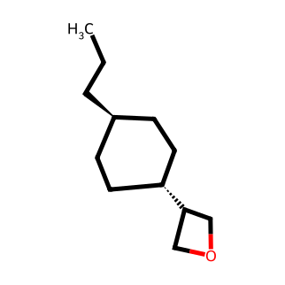 CCC[C@H]1CC[C@H](C2COC2)CC1